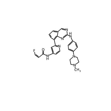 CN1CCN(c2ccc(Nc3ncc4cccc(-c5cc(NC(=O)/C=C\F)ccn5)c4n3)cc2)CC1